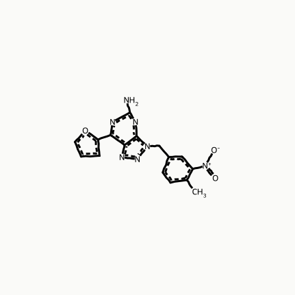 Cc1ccc(Cn2nnc3c(-c4ccco4)nc(N)nc32)cc1[N+](=O)[O-]